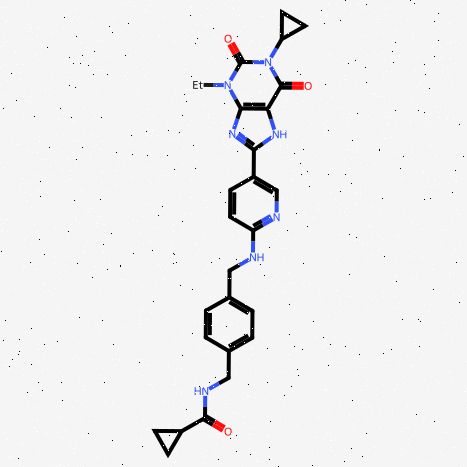 CCn1c(=O)n(C2CC2)c(=O)c2[nH]c(-c3ccc(NCc4ccc(CNC(=O)C5CC5)cc4)nc3)nc21